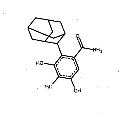 NC(=O)c1cc(O)c(O)c(O)c1C1C2CC3CC(C2)CC1C3